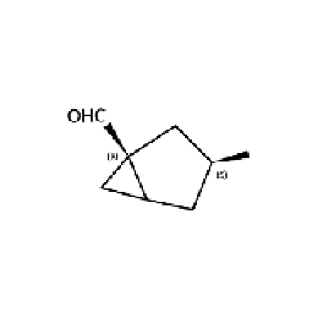 C[C@H]1CC2C[C@]2(C=O)C1